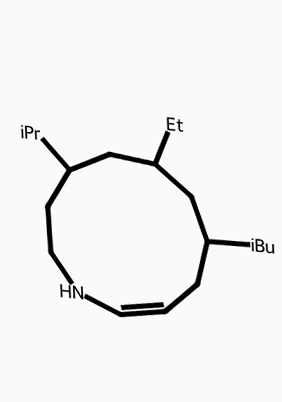 CCC1CC(C(C)C)CCN/C=C\CC(C(C)CC)C1